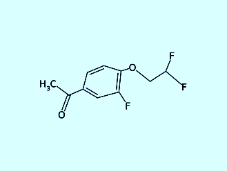 CC(=O)c1ccc(OCC(F)F)c(F)c1